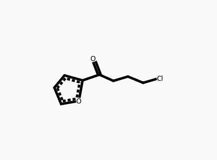 O=C(CCCCl)c1ccco1